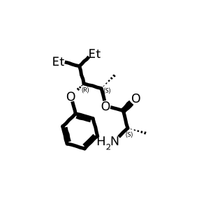 CCC(CC)[C@@H](Oc1ccccc1)[C@H](C)OC(=O)[C@H](C)N